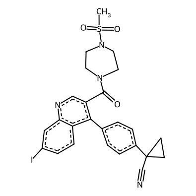 CS(=O)(=O)N1CCN(C(=O)c2cnc3cc(I)ccc3c2-c2ccc(C3(C#N)CC3)cc2)CC1